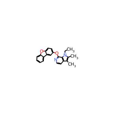 CCn1c(C)c(C)c2ccnc(Oc3ccc4oc5ccccc5c4c3)c21